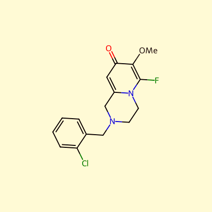 COc1c(F)n2c(cc1=O)CN(Cc1ccccc1Cl)CC2